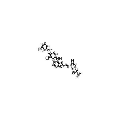 CN(C)C(=O)O[C@@H]1CN[C@@H](C#Cc2cc3c(Nc4ccc(OCc5cccc(F)c5)c(Cl)c4)ncnc3s2)C1